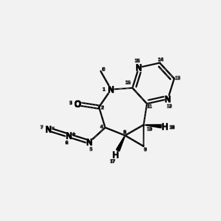 CN1C(=O)C(N=[N+]=[N-])[C@H]2C[C@H]2c2nccnc21